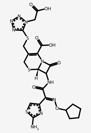 Nc1nc(C(=NOC2CCCC2)C(=O)NC2C(=O)N3C(C(=O)O)=C(CSc4nnnn4CC(=O)O)CS[C@@H]23)cs1